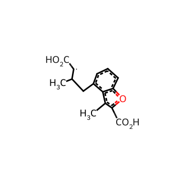 Cc1c(C(=O)O)oc2cccc(CC(C)[CH]C(=O)O)c12